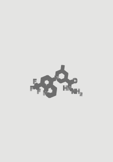 CC1CC(C(=O)NN)CN(c2ccc(C(F)(F)F)c3ncccc23)C1